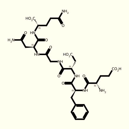 NC(=O)CC[C@H](NC(=O)[C@H](CC(N)=O)NC(=O)CNC(=O)[C@H](CC(=O)O)NC(=O)[C@H](Cc1ccccc1)NC(=O)[C@@H](N)CCC(=O)O)C(=O)O